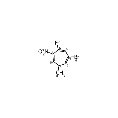 CC1C=C(Br)C=C(F)C([N+](=O)[O-])=C1